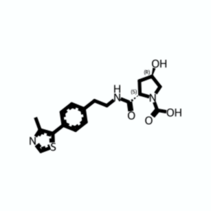 Cc1ncsc1-c1ccc(CCNC(=O)[C@@H]2C[C@@H](O)CN2C(=O)O)cc1